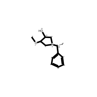 COC1CN([C@H](C)c2ccccc2)CC1O